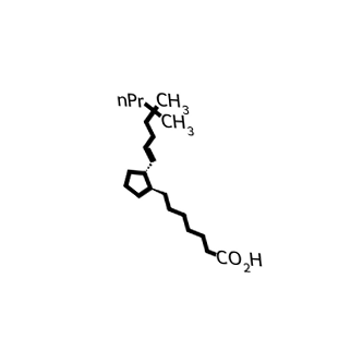 CCCC(C)(C)CCC=C[C@H]1CCC[C@@H]1CCCCCCC(=O)O